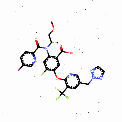 COC[C@H](C)N(C(=O)c1ccc(I)cn1)c1cc(F)c(Oc2ncc(Cn3nccn3)cc2C(F)(F)F)cc1C(=O)O